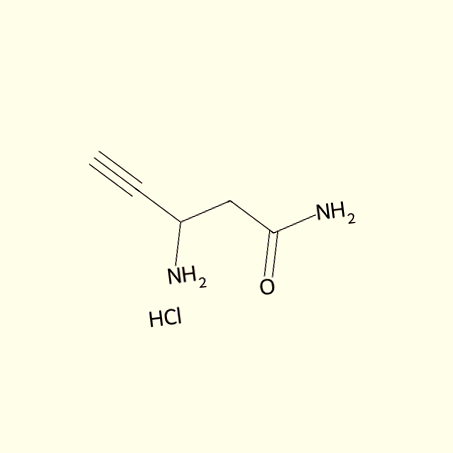 C#CC(N)CC(N)=O.Cl